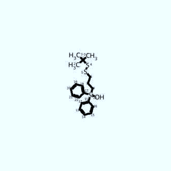 CC(C)(C)SSCCC[Si](O)(c1ccccc1)c1ccccc1